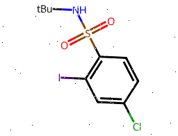 CC(C)(C)NS(=O)(=O)c1ccc(Cl)cc1I